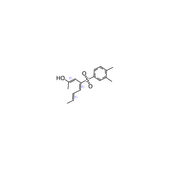 C/C=C/C=C(\C=C(/C)O)S(=O)(=O)c1ccc(C)c(C)c1